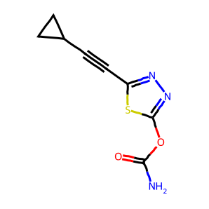 NC(=O)Oc1nnc(C#CC2CC2)s1